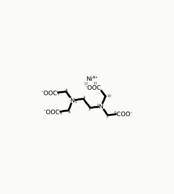 O=C([O-])CN(CCN(CC(=O)[O-])CC(=O)[O-])CC(=O)[O-].[Ni+4]